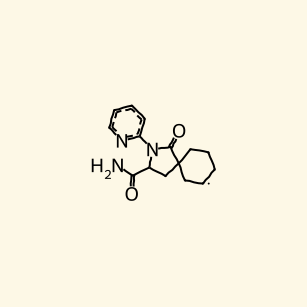 NC(=O)C1CC2(C[CH]CCC2)C(=O)N1c1ccccn1